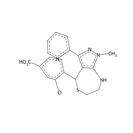 Cn1nc(-c2ccccn2)c2c1NCCSC2c1ccc(C(=O)O)cc1Cl